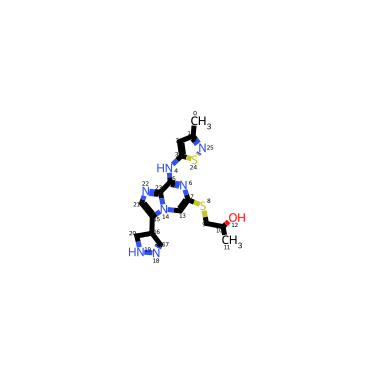 Cc1cc(Nc2nc(SCC(C)O)cn3c(C4C=NNC4)cnc23)sn1